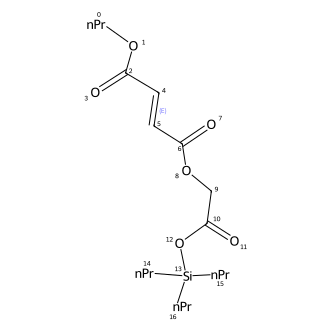 CCCOC(=O)/C=C/C(=O)OCC(=O)O[Si](CCC)(CCC)CCC